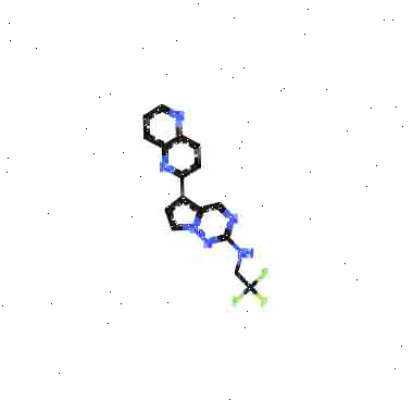 FC(F)(F)CNc1ncc2c(-c3ccc4ncccc4n3)ccn2n1